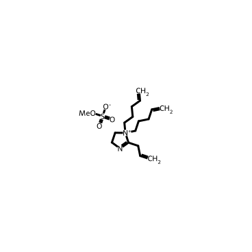 C=CCCC[N+]1(CCCC=C)CCN=C1CC=C.COS(=O)(=O)[O-]